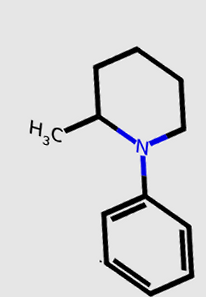 CC1CCCCN1c1c[c]ccc1